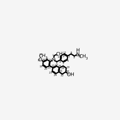 CCN(Cc1ccc(CCNC)cc1)c1cc(OC)ccc1-c1ccc2c(c1)CCC(O)C2